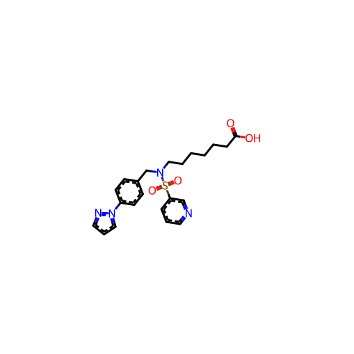 O=C(O)CCCCCCN(Cc1ccc(-n2cccn2)cc1)S(=O)(=O)c1cccnc1